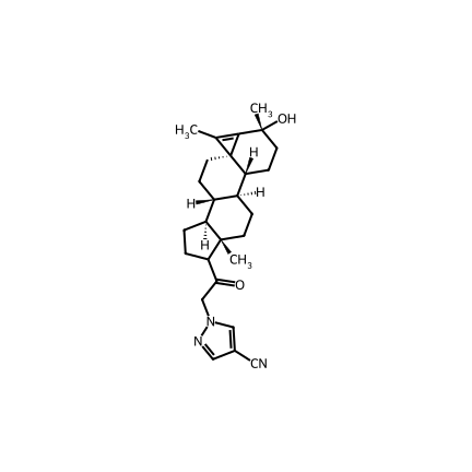 CC1=C2[C@]13CC[C@@H]1[C@H](CC[C@]4(C)C(C(=O)Cn5cc(C#N)cn5)CC[C@@H]14)[C@H]3CC[C@@]2(C)O